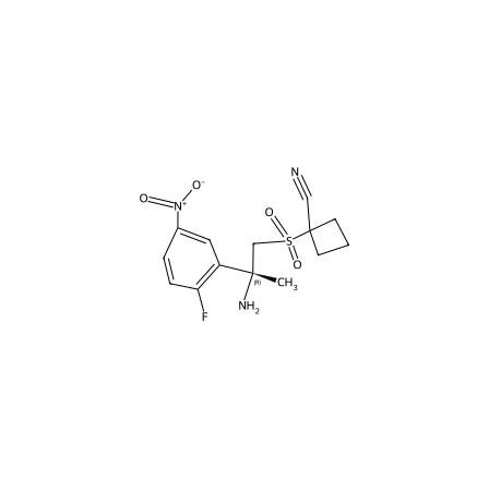 C[C@](N)(CS(=O)(=O)C1(C#N)CCC1)c1cc([N+](=O)[O-])ccc1F